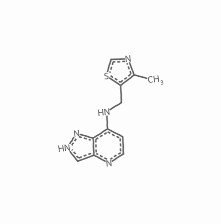 Cc1ncsc1CNc1ccnc2c[nH]nc12